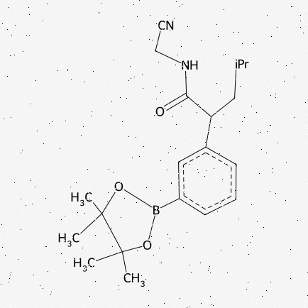 CC(C)CC(C(=O)NCC#N)c1cccc(B2OC(C)(C)C(C)(C)O2)c1